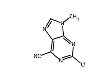 Cn1cnc2c(C#N)nc(Cl)nc21